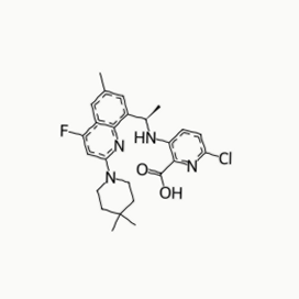 Cc1cc([C@@H](C)Nc2ccc(Cl)nc2C(=O)O)c2nc(N3CCC(C)(C)CC3)cc(F)c2c1